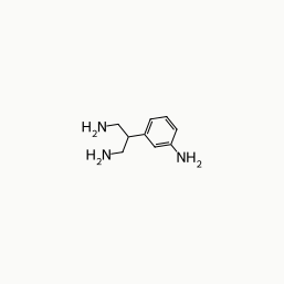 NCC(CN)c1cccc(N)c1